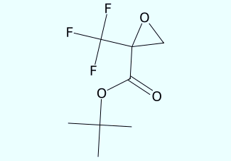 CC(C)(C)OC(=O)C1(C(F)(F)F)CO1